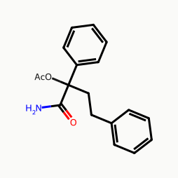 CC(=O)OC(CCc1ccccc1)(C(N)=O)c1ccccc1